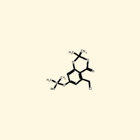 CC1(C)OC(=O)c2c(CCl)cc(O[Si](C)(C)C(C)(C)C)cc2O1